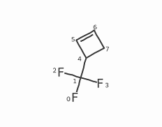 FC(F)(F)C1C=CC1